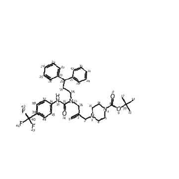 C=C(CN1CCN(C(=O)OC(C)(C)C)CC1)CN(CCC(c1ccccc1)c1ccccc1)C(=O)Nc1ccc(C(F)(F)F)cc1